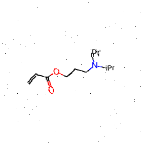 C=CC(=O)OCCCN(C(C)C)C(C)C